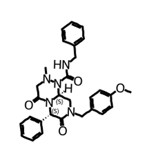 COc1ccc(CN2C[C@H]3N(C(=O)CN(C)N3C(=O)NCc3ccccc3)[C@@H](c3ccccc3)C2=O)cc1